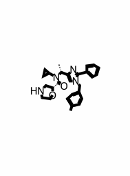 Cc1ccc(Cn2cc([C@@H](C)N(C(=O)[C@H]3CNCCO3)C3CC3)nc2-c2ccccc2)cc1